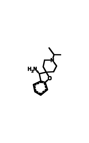 CC(C)N1CCC2(CC1)Oc1ccccc1[C@H]2N